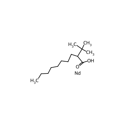 CCCCCCCCC(C(=O)O)C(C)(C)C.[Nd]